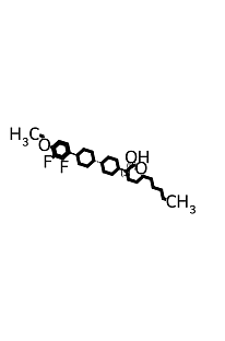 CCCCCC1CC[C@@H](C2CCC([C@H]3CC[C@H](c4ccc(OCC)c(F)c4F)CC3)CC2)[C@H](O)O1